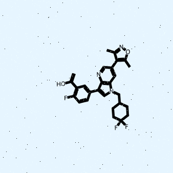 C=C(O)c1cc(-c2cn(CC3CCC(F)(F)CC3)c3cc(-c4c(C)noc4C)cnc23)ccc1F